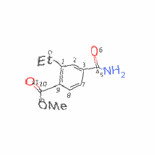 CCc1cc(C(N)=O)ccc1C(=O)OC